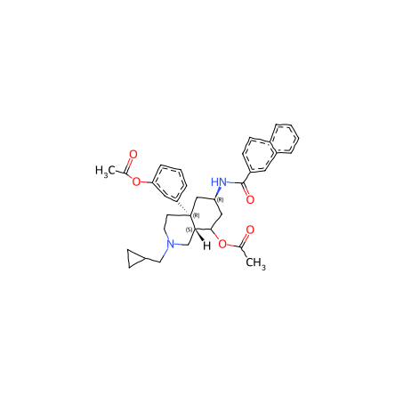 CC(=O)Oc1cccc([C@@]23CCN(CC4CC4)C[C@H]2C(OC(C)=O)C[C@H](NC(=O)c2ccc4ccccc4c2)C3)c1